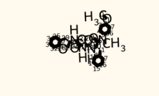 COc1ccc(N(C)C(=O)[C@H](Cc2ccccc2)NC(=O)NS(=O)(=O)N[C@@H](C=O)Cc2ccccc2)cc1